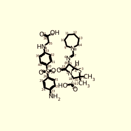 CC1(C)S[C@@H]2[C@H](N=CN3CCCCCC3)C(=O)N2[C@H]1C(=O)O.Nc1ccc(S(=O)(=O)c2ccc(NCC(=O)O)cc2)cc1